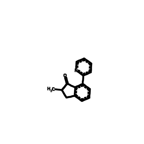 CC1Cc2cccc(-c3ccccn3)c2C1=O